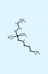 CCCCCCC(C)(C)SSCC